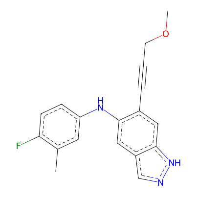 COCC#Cc1cc2[nH]ncc2cc1Nc1ccc(F)c(C)c1